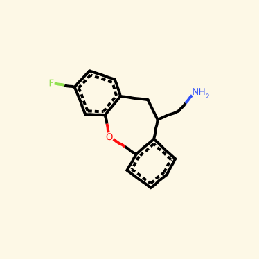 NCC1Cc2ccc(F)cc2Oc2ccccc21